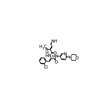 CN/C(=C\C=N)C(=O)N/C(=C\c1ccccc1Cl)C(=O)Nc1ccc(N2CCOCC2)nc1